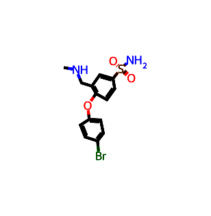 CNCc1cc(S(N)(=O)=O)ccc1Oc1ccc(Br)cc1